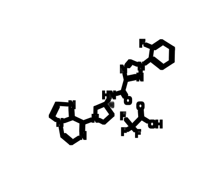 O=C(N[C@H]1CCN(c2nccn3ccnc23)C1)c1ncn(-c2ccccc2F)n1.O=C(O)C(F)(F)F